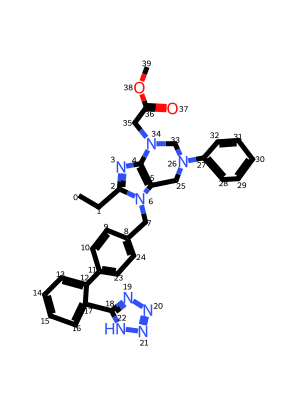 CCc1nc2c(n1Cc1ccc(-c3ccccc3-c3nnn[nH]3)cc1)CN(c1ccccc1)CN2CC(=O)OC